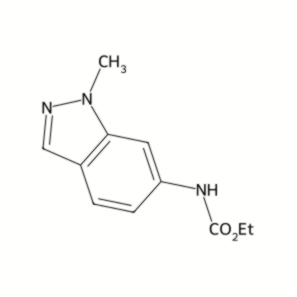 CCOC(=O)Nc1ccc2cnn(C)c2c1